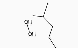 CCCC(C)C.OO